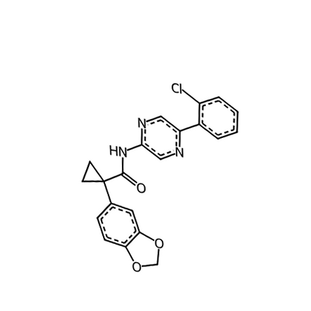 O=C(Nc1cnc(-c2ccccc2Cl)cn1)C1(c2ccc3c(c2)OCO3)CC1